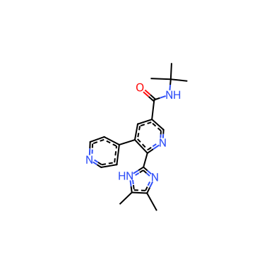 Cc1nc(-c2ncc(C(=O)NC(C)(C)C)cc2-c2ccncc2)[nH]c1C